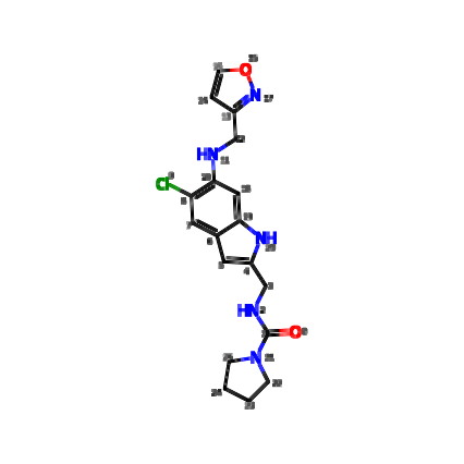 O=C(NCc1cc2cc(Cl)c(NCc3ccon3)cc2[nH]1)N1CCCC1